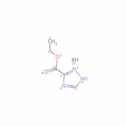 CCOC(=O)c1nc[nH]n1.[KH]